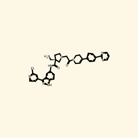 CCc1cc(-c2n[nH]c3ccc(NC(=O)[C@]4(CN)CCN(CC(=O)N5CC=C(c6ccc(-c7ncccn7)cc6)CC5)C4)cc23)ccn1